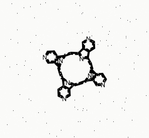 c1cc2c(cn1)-c1cc3[nH]c(cc4nc(cc5[nH]c(cc-2n1)c1ccncc51)-c1cnccc1-4)c1cnccc31